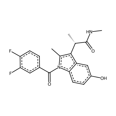 CNC(=O)[C@@H](C)c1c(C)n(C(=O)c2ccc(F)c(F)c2)c2ccc(O)cc12